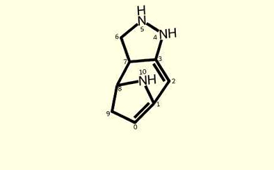 C1=C2C=C3NNCC3C(C1)N2